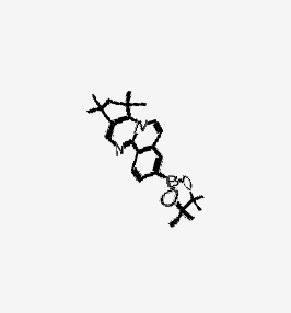 CC1(C)CC(C)(C)C2=C1CN=C1c3ccc(B4OC(C)(C)C(C)(C)O4)cc3C=CN12